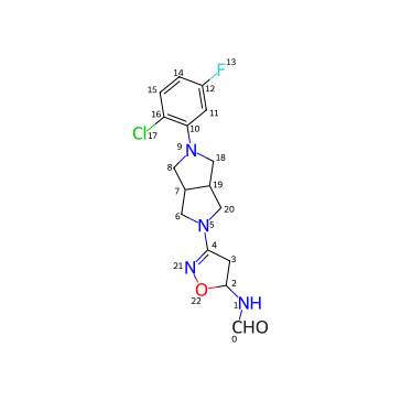 O=CNC1CC(N2CC3CN(c4cc(F)ccc4Cl)CC3C2)=NO1